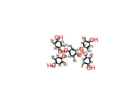 Cc1cc(OP(Oc2cc(C)c(O)cc2C)Oc2cc(C)c(OP(Oc3cc(C)c(O)cc3C)Oc3cc(C)c(O)cc3C)cc2C)c(C)cc1O